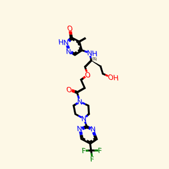 Cc1c(N[C@@H](CCO)COCCC(=O)N2CCN(c3ncc(C(F)(F)F)cn3)CC2)cn[nH]c1=O